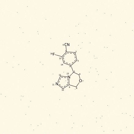 N#Cc1ccc(C2COCc3cncn32)cc1F